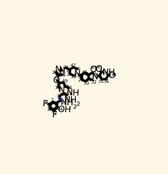 NC1=C(/C=C(\N)c2cc(F)cc(F)c2O)N2CC(Oc3cnn(CC4CCN(C5=CCC6CN(C7CCC(=O)NC7=O)C(=O)C6=C5)CC4)c3)CC2CN1